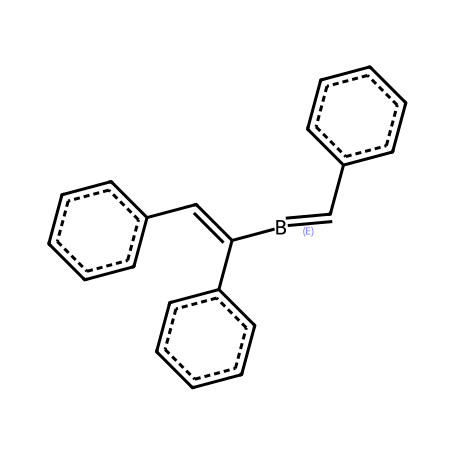 B(=C\c1ccccc1)/C(=Cc1ccccc1)c1ccccc1